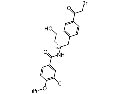 CC(C)Oc1ccc(C(=O)N[C@H](CCO)Cc2ccc(C(=O)CBr)cc2)cc1Cl